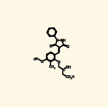 CCCOc1ccc(C=C2C(=O)NN(c3ccccc3)C2=O)c(OC[C@@H](O)CC(=O)O)c1C